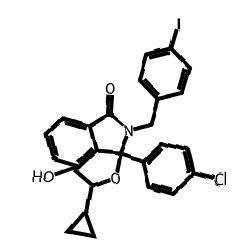 O=C1c2ccccc2C(OC(CO)C2CC2)(c2ccc(Cl)cc2)N1Cc1ccc(I)cc1